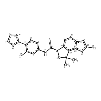 CC1(C)O[C@@H](C(=O)Nc2cnc(-n3nccn3)c(Cl)c2)c2cnc3cc(Cl)nn3c21